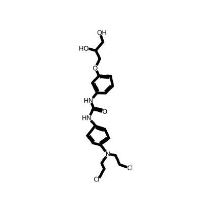 O=C(Nc1ccc(N(CCCl)CCCl)cc1)Nc1cccc(OCC(O)CO)c1